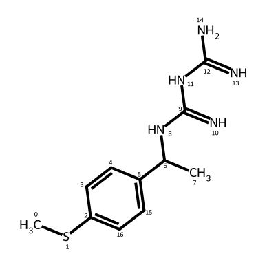 CSc1ccc(C(C)NC(=N)NC(=N)N)cc1